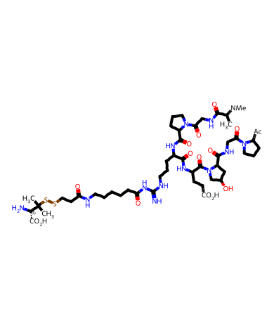 CNC(C)C(=O)NCC(=O)N1CCCC1C(=O)NC(CCCNC(=N)NC(=O)CCCCCNC(=O)CCSSC(C)(C)[C@@H](N)C(=O)O)C(=O)NC(CCC(=O)O)C(=O)N1CC(O)CC1C(=O)NCC(=O)N1CCCC1C(C)=O